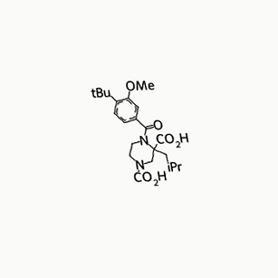 COc1cc(C(=O)N2CCN(C(=O)O)CC2(CC(C)C)C(=O)O)ccc1C(C)(C)C